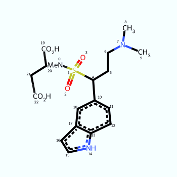 CNS(=O)(=O)C(CCN(C)C)c1ccc2[nH]ccc2c1.O=C(O)CCC(=O)O